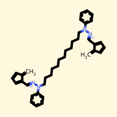 C=C1C=CC=C1/C=N/N(CCCCCCCCCCCCN(/N=C/C1=CC=CC1=C)c1ccccc1)c1ccccc1